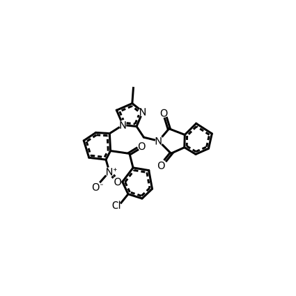 Cc1cn(-c2cccc([N+](=O)[O-])c2C(=O)c2cccc(Cl)c2)c(CN2C(=O)c3ccccc3C2=O)n1